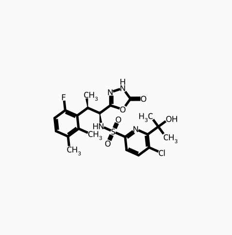 Cc1ccc(F)c([C@@H](C)[C@H](NS(=O)(=O)c2ccc(Cl)c(C(C)(C)O)n2)c2n[nH]c(=O)o2)c1C